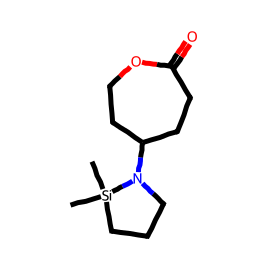 C[Si]1(C)CCCN1C1CCOC(=O)CC1